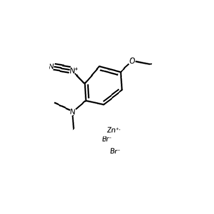 COc1ccc(N(C)C)c([N+]#N)c1.[Br-].[Br-].[Zn+]